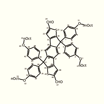 CCCCCCCCOc1ccc(C2(c3ccc(OCCCCCCCC)cc3)c3cc4c(cc3-c3cc(C=O)sc32)C(c2ccc(OCCCCCCCC)cc2)(c2ccc(OCCCCCCCC)cc2)c2sc(C=O)cc2-4)cc1